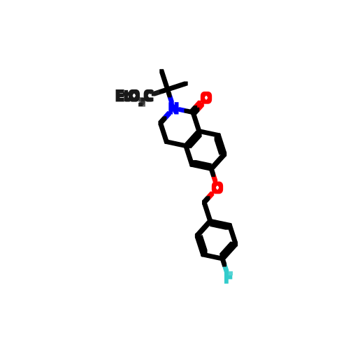 CCOC(=O)C(C)(C)N1CCc2cc(OCc3ccc(F)cc3)ccc2C1=O